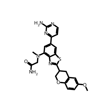 COc1ccc2c(c1)CC(c1nc3c(N(C)CC(N)=O)cc(-c4ccnc(N)n4)cc3s1)CO2